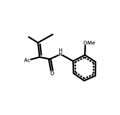 COc1ccccc1NC(=O)C(C(C)=O)=C(C)C